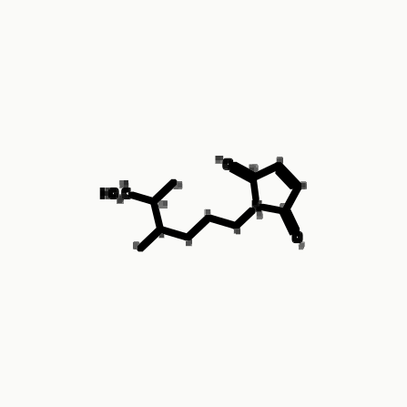 CC(CCCN1C(=O)C=CC1=O)C(C)C(=O)O